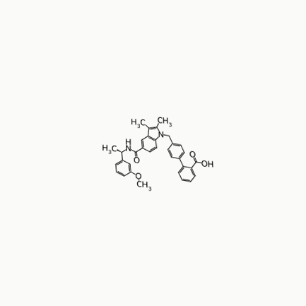 COc1cccc([C@@H](C)NC(=O)c2ccc3c(c2)c(C)c(C)n3Cc2ccc(-c3ccccc3C(=O)O)cc2)c1